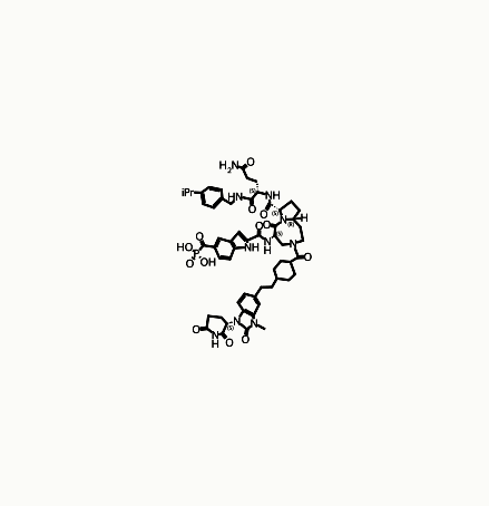 CC(C)c1ccc(CNC(=O)[C@H](CCC(N)=O)NC(=O)[C@@H]2CC[C@@H]3CCN(C(=O)C4CCC(CCc5ccc6c(c5)n(C)c(=O)n6[C@H]5CCC(=O)NC5=O)CC4)C[C@H](NC(=O)c4cc5cc(C(=O)P(=O)(O)O)ccc5[nH]4)C(=O)N32)cc1